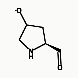 [O]C1CN[C@H](C=O)C1